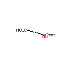 CCCCCC(O)C=CC=CCCCCCCCCCC(=O)O